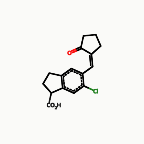 O=C1CCC/C1=C/c1cc2c(cc1Cl)C(C(=O)O)CC2